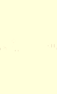 CCCC(=O)Oc1ccc2cc(C)ccc2c1